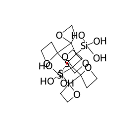 O[Si](O)(O)C1(C2(C3(SSC4(C5(C6([Si](O)(O)O)CCO6)CCO5)CCO4)CCO3)CCO2)CCO1